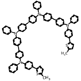 Cc1ccc(-c2ccc(N(c3ccccc3)c3ccc(-c4ccc(N(c5ccccc5)c5ccc(-c6ccc(N(c7ccccc7)c7ccc(-c8ccc(N(c9ccccc9)c9ccc(-c%10ccc(C)s%10)cc9)cc8)cc7)cc6)cc5)cc4)cc3)cc2)s1